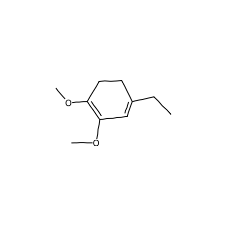 CCC1=CC(OC)=C(OC)CC1